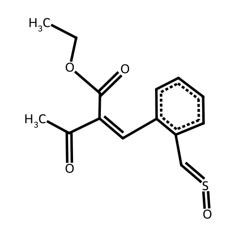 CCOC(=O)C(=Cc1ccccc1C=S=O)C(C)=O